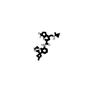 CC1CC(c2cccc(NC(=O)c3cc(CNC4(C)CC4)c4c(n3)C(F)(F)CC4)c2)(c2nncn2C)C1